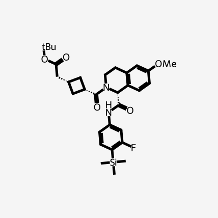 COc1ccc2c(c1)CCN(C(=O)[C@H]1C[C@@H](CC(=O)OC(C)(C)C)C1)[C@H]2C(=O)Nc1ccc([Si](C)(C)C)c(F)c1